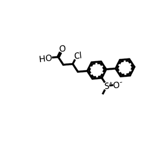 C[S+]([O-])c1cc(CC(Cl)CC(=O)O)ccc1-c1ccccc1